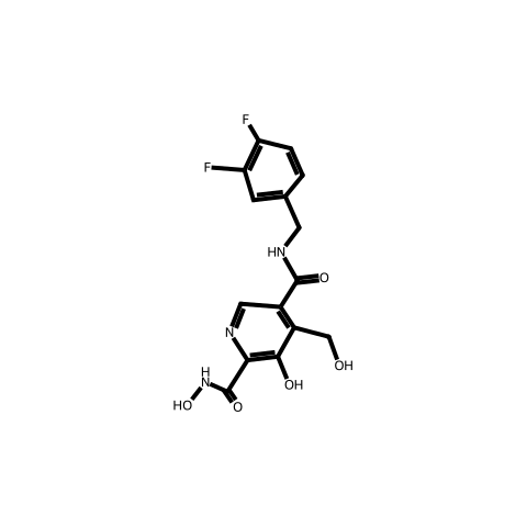 O=C(NCc1ccc(F)c(F)c1)c1cnc(C(=O)NO)c(O)c1CO